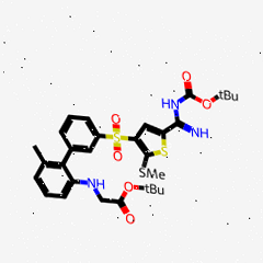 CSc1sc(C(=N)NC(=O)OC(C)(C)C)cc1S(=O)(=O)c1cccc(-c2c(C)cccc2NCC(=O)OC(C)(C)C)c1